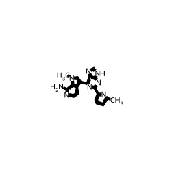 Cc1cccc(-c2nc(-c3cn(C)c4c(N)nccc34)c3nc[nH]c3n2)n1